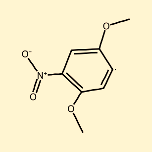 COc1[c]cc(OC)c([N+](=O)[O-])c1